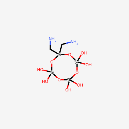 NC[Si]1(CN)O[Si](O)(O)O[Si](O)(O)O[Si](O)(O)O1